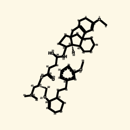 COC1=CC2=C(CC1)CC13CCC(NC(O)CCC(=O)O[C@H](COC4=CCCCC4CCc4cccc(OC)c4)CN(C)C)[C@@H]1C1CCCCC21C3